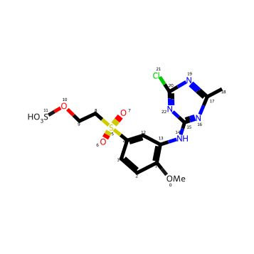 COc1ccc(S(=O)(=O)CCOS(=O)(=O)O)cc1Nc1nc(C)nc(Cl)n1